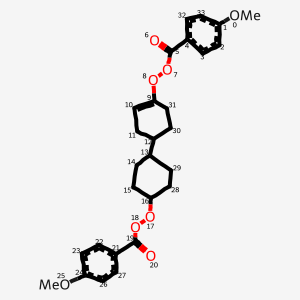 COc1ccc(C(=O)OOC2=CCC(C3CCC(OOC(=O)c4ccc(OC)cc4)CC3)CC2)cc1